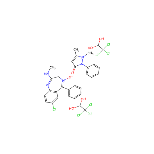 CNC1=Nc2ccc(Cl)cc2C(c2ccccc2)=[N+]([O-])C1.Cc1cc(=O)n(-c2ccccc2)n1C.OC(O)C(Cl)(Cl)Cl.OC(O)C(Cl)(Cl)Cl